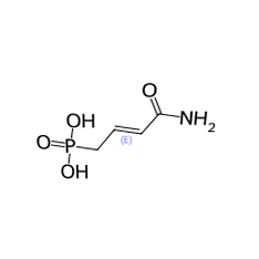 NC(=O)/C=C/CP(=O)(O)O